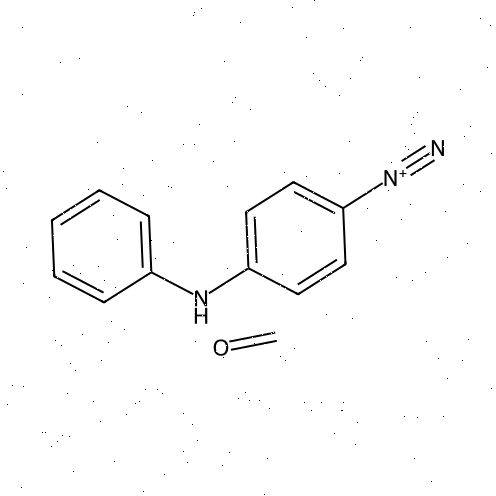 C=O.N#[N+]c1ccc(Nc2ccccc2)cc1